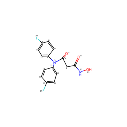 O=C(CC(=O)N(c1ccc(F)cc1)c1ccc(F)cc1)NO